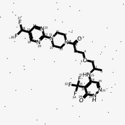 CC(COCCC(=O)N1CCN(c2ncc(C(F)F)cn2)CC1)Nc1cn[nH]c(=O)c1C(F)(F)F